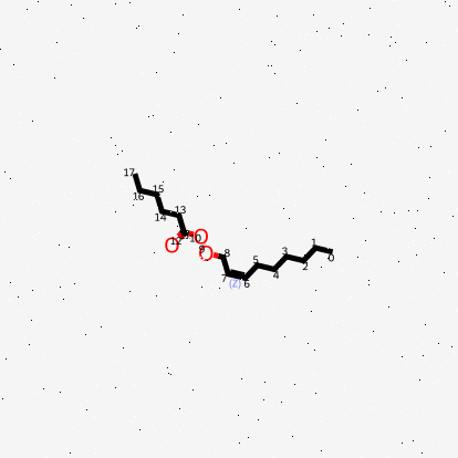 CCCCCC/C=C\COOC(=O)CCCCC